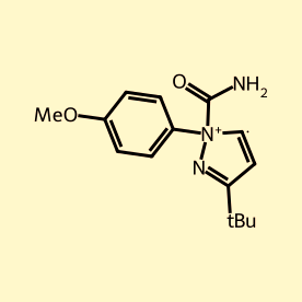 COc1ccc([N+]2(C(N)=O)[C]=CC(C(C)(C)C)=N2)cc1